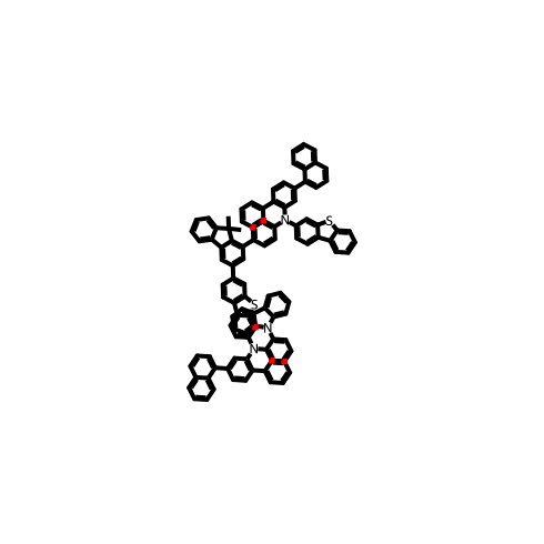 CC1(C)c2ccccc2-c2cc(-c3ccc4c(c3)sc3cc(N(c5cc(-c6cccc7ccccc67)ccc5-c5ccccc5)c5ccccc5-n5c6ccccc6c6ccccc65)ccc34)cc(-c3ccc(N(c4ccc5c(c4)sc4ccccc45)c4cc(-c5cccc6ccccc56)ccc4-c4ccccc4)cc3)c21